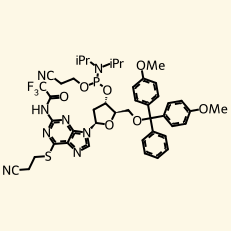 COc1ccc(C(OC[C@H]2O[C@@H](n3cnc4c(SCCC#N)nc(NC(=O)C(F)(F)F)nc43)C[C@@H]2OP(OCCC#N)N(C(C)C)C(C)C)(c2ccccc2)c2ccc(OC)cc2)cc1